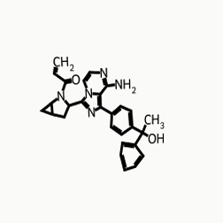 C=CC(=O)N1C(c2nc(-c3ccc(C(C)(O)c4ccccc4)cc3)c3c(N)nccn23)CC2CC21